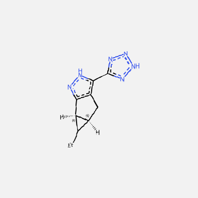 CCC1[C@H]2c3n[nH]c(-c4nn[nH]n4)c3C[C@@H]12